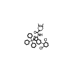 C[C@H]1CC[C@@H](C(=O)Nc2nn(C(c3ccccc3)(c3ccccc3)c3ccccc3)c3ccc(-c4c(Cl)cccc4Cl)cc23)CN1C